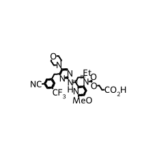 CC[C@@H]1C[C@H](Nc2ncc(N3CCOCC3)c(Cc3cc(C#N)cc(C(F)(F)F)c3)n2)c2nc(OC)ccc2N1C(=O)OCCC(=O)O